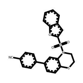 N#Cc1ccc(-c2ccc3c(c2)N(S(=O)(=O)c2cc4ccccc4o2)CCS3)cc1